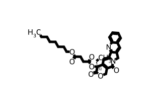 CCCCCCCCOC(=O)CCC(=O)O[C@]1(CC)C(=O)OCc2c1cc1n(c2=O)Cc2cc3ccccc3nc2-1